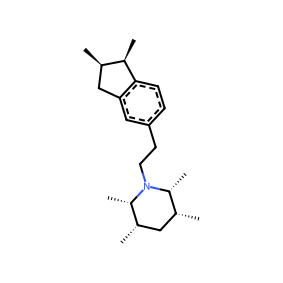 C[C@@H]1C[C@H](C)[C@H](C)N(CCc2ccc3c(c2)C[C@@H](C)[C@H]3C)[C@@H]1C